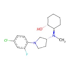 CN([C@@H]1CCN(c2ccc(Cl)cc2F)C1)[C@@H]1CCCC[C@H]1O